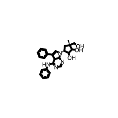 C[C@]1(CO)C[C@@H](N2C=C(c3ccccc3)C3C(Nc4ccccc4)=NC=NC32)C(O)C1O